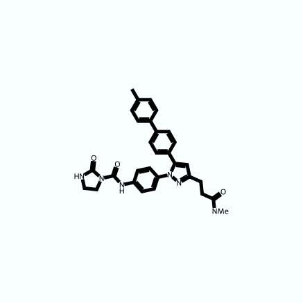 CNC(=O)CCc1cc(-c2ccc(-c3ccc(C)cc3)cc2)n(-c2ccc(NC(=O)N3CCNC3=O)cc2)n1